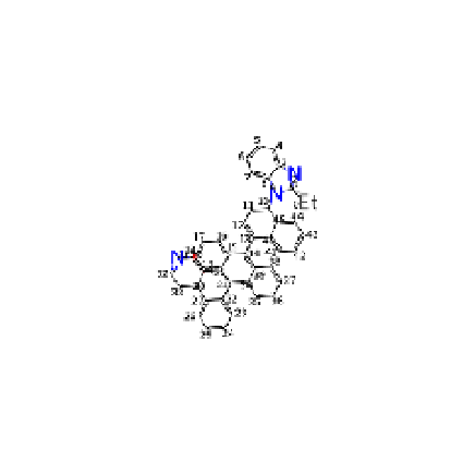 CCc1nc2ccccc2n1-c1ccc(-c2c3ccccc3c(-c3ccccc3-c3ccncc3)c3ccccc23)c2ccccc12